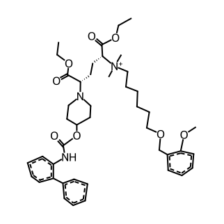 CCOC(=O)[C@@H](CC[C@@H](C(=O)OCC)N1CCC(OC(=O)Nc2ccccc2-c2ccccc2)CC1)[N+](C)(C)CCCCCCOCc1ccccc1OC